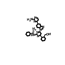 CC(Nc1nc(-c2ccccc2CO)cc(-n2cnc3cc(-c4ccnc(N)n4)ccc32)n1)c1ccccc1